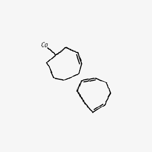 C1=C\CC/C=C\CC/1.[Co][CH]1C/C=C\CCCC1